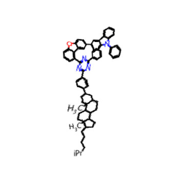 CC(C)CCCCC1CCC2C3CCC4CC(c5ccc(-c6nc(-c7ccccc7)nc(-c7cccc8oc9ccc(-c%10ccc%11c(c%10)c%10ccccc%10n%11-c%10ccccc%10)cc9c78)n6)cc5)CCC4(C)C3CCC12C